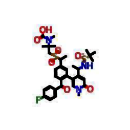 CC(N[S@@+]([O-])C(C)(C)C)c1cc(=O)n(C)cc1-c1cc(C(C)S(=O)(=O)CC(C)(C)N(C)C(=O)O)ccc1C(=O)c1ccc(F)cc1